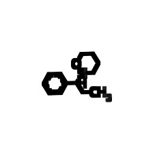 CCC(c1ccccc1)[SiH]1CCCCO1